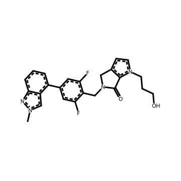 Cn1cc2c(-c3cc(F)c(CN4Cc5ccn(CCCO)c5C4=O)c(F)c3)cccc2n1